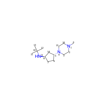 CN1CCN([C@@H]2CC[C@@H](NC(C)(C)C)C2)CC1